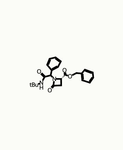 CC(C)(C)NC(=O)C(c1ccccc1)N1C(=O)C[C@H]1C(=O)OCc1ccccc1